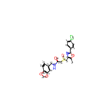 Cc1oc(-c2ccc(Cl)cc2)nc1C[S+]([O-])CC(=O)NCc1ccc2c(c1)OCO2